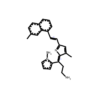 Bn1cccc1/C(CCN)=C1N=C(/C=C/c2cccc3ccc(C)cc23)C=C\1C